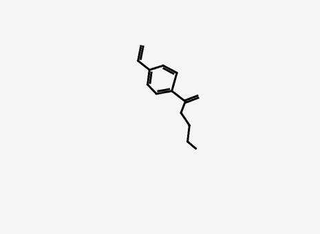 C=Cc1ccc(C(=C)CCCC)cc1